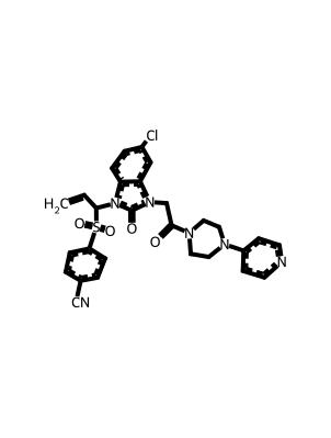 C=CC(n1c(=O)n(CC(=O)N2CCN(c3ccncc3)CC2)c2cc(Cl)ccc21)S(=O)(=O)c1ccc(C#N)cc1